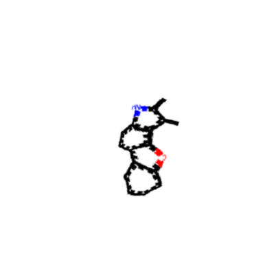 C=c1[nH]c2ccc3c4ccccc4oc3c2c1=C